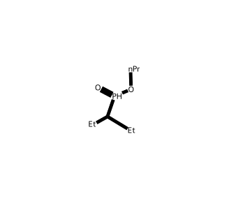 CCCO[PH](=O)C(CC)CC